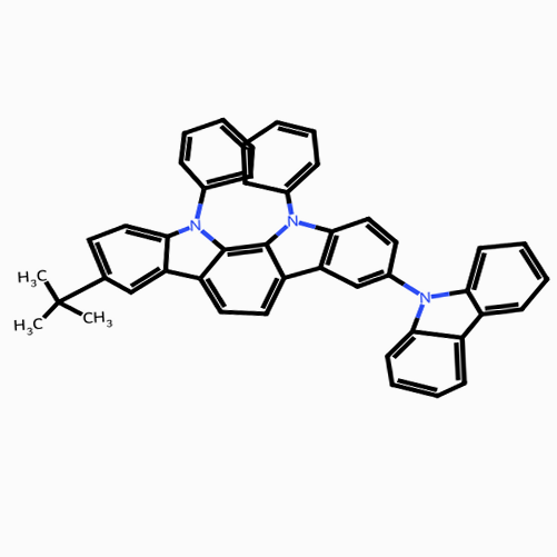 CC(C)(C)c1ccc2c(c1)c1ccc3c4cc(-n5c6ccccc6c6ccccc65)ccc4n(-c4ccccc4)c3c1n2-c1ccccc1